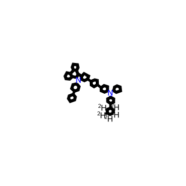 [2H]c1c([2H])c([2H])c(-c2ccc(N(c3ccccc3)c3ccc(-c4ccc(-c5ccc6c7c8ccccc8c8ccccc8c7n(-c7ccc(-c8ccccc8)cc7)c6c5)cc4)cc3)cc2)c([2H])c1[2H]